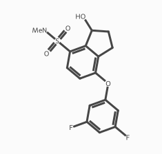 CNS(=O)(=O)c1ccc(Oc2cc(F)cc(F)c2)c2c1C(O)CC2